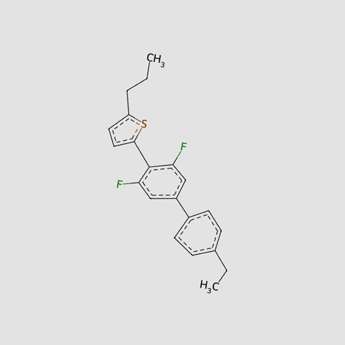 CCCc1ccc(-c2c(F)cc(-c3ccc(CC)cc3)cc2F)s1